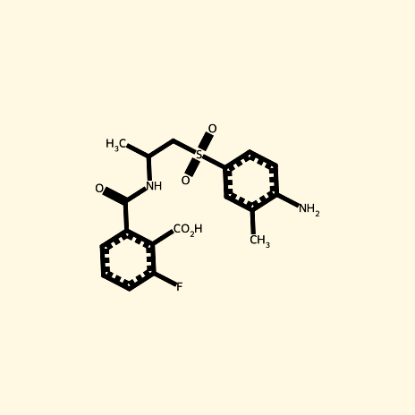 Cc1cc(S(=O)(=O)CC(C)NC(=O)c2cccc(F)c2C(=O)O)ccc1N